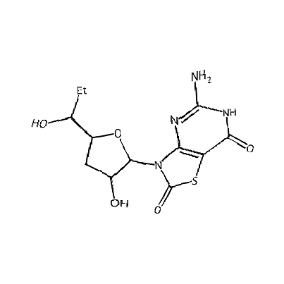 CCC(O)C1CC(O)C(n2c(=O)sc3c(=O)[nH]c(N)nc32)O1